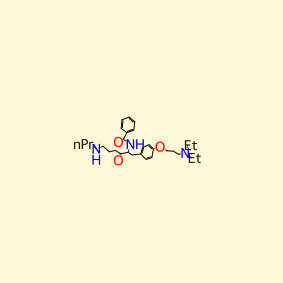 CCCNCCCC(=O)C(Cc1ccc(OCCCN(CC)CC)cc1)NC(=O)c1ccccc1